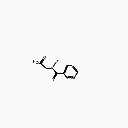 O=C(O)CN(Br)C(=O)c1ccccc1